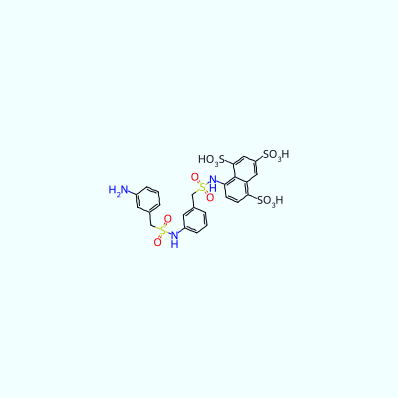 Nc1cccc(CS(=O)(=O)Nc2cccc(CS(=O)(=O)Nc3ccc(S(=O)(=O)O)c4cc(S(=O)(=O)O)cc(S(=O)(=O)O)c34)c2)c1